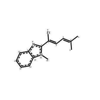 CC/C(=C\C=C(C)C)c1nc2ccccc2n1C